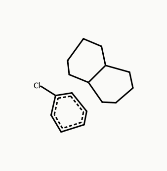 C1CCC2CCCCC2C1.Clc1ccccc1